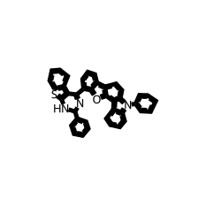 c1ccc(C2N=C(c3cccc4c3oc3c4ccc4c3c3ccccc3n4-c3ccccc3)c3c(sc4ccccc34)N2)cc1